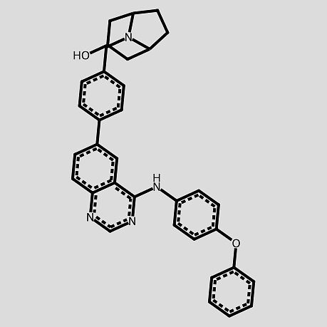 OC1CC2CCC(C1)N2Cc1ccc(-c2ccc3ncnc(Nc4ccc(Oc5ccccc5)cc4)c3c2)cc1